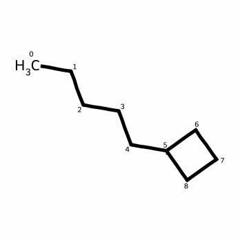 CCCCC[C]1CCC1